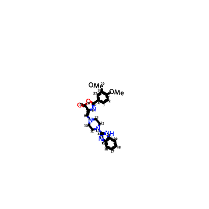 COc1ccc(C2=NC(=CN3CCN(c4nc5ccccc5[nH]4)CC3)C(=O)O2)cc1OC